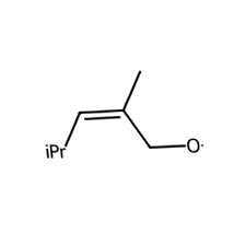 CC(=CC(C)C)C[O]